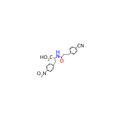 N#Cc1ccc(CCC(=O)NC(Cc2ccc([N+](=O)[O-])cc2)C(=O)O)cc1